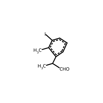 Cc1c(I)cccc1C(C)C=O